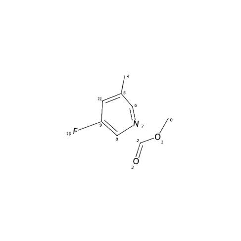 COC=O.Cc1cncc(F)c1